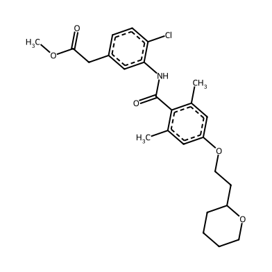 COC(=O)Cc1ccc(Cl)c(NC(=O)c2c(C)cc(OCCC3CCCCO3)cc2C)c1